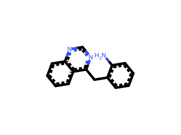 Nc1ccccc1Cc1ncnc2ccccc12